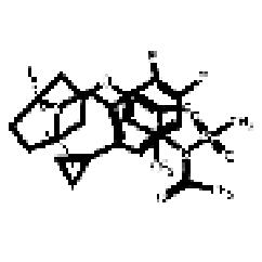 CS(=O)(=O)N(C(=O)C(F)(F)F)c1cc(C2CC2)c(CN2[C@@H]3CC[C@H]2CC(Oc2cc(C(F)(F)F)cc(Cl)c2F)C3)cc1F